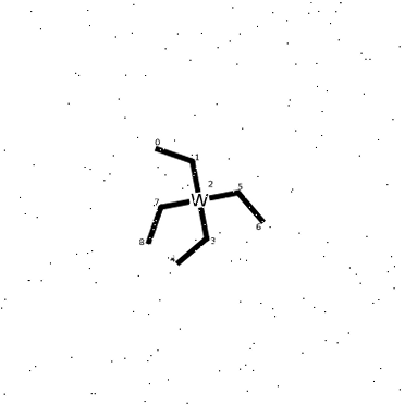 C[CH2][W]([CH2]C)([CH2]C)[CH2]C